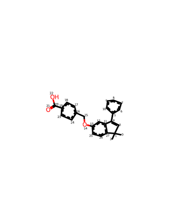 CC1(C)C=C(c2ccccc2)c2cc(OCc3ccc(C(=O)O)cc3)ccc21